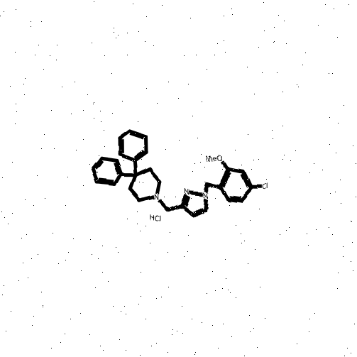 COc1cc(Cl)ccc1Cn1ccc(CN2CCC(c3ccccc3)(c3ccccc3)CC2)n1.Cl